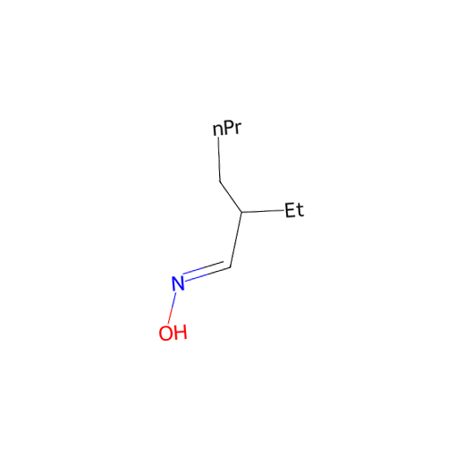 CCCCC(/C=N/O)CC